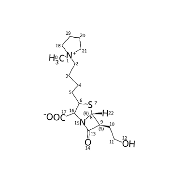 C[N+]1(CCCCC2S[C@@H]3[C@@H](CCO)C(=O)N3C2C(=O)[O-])CCCC1